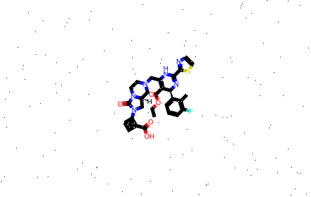 CCOC(=O)C1=C(CN2CCN3C(=O)N(C4C5CC4(C(=O)O)C5)C[C@@H]3C2)NC(c2nccs2)=N[C@H]1c1cccc(F)c1C